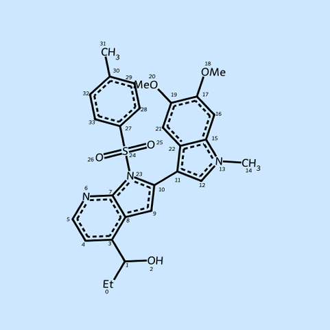 CCC(O)c1ccnc2c1cc(-c1cn(C)c3cc(OC)c(OC)cc13)n2S(=O)(=O)c1ccc(C)cc1